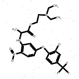 CCN(CC)CCOC(=O)C(C)Nc1cc(Oc2ccc(C(F)(F)F)cc2Cl)ccc1[N+](=O)[O-]